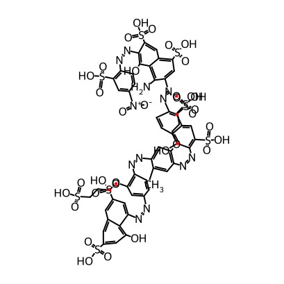 Cc1cc(/N=N\c2c(S(=O)(=O)O)cc3c(S(=O)(=O)O)c(N=Nc4cc(S(=O)(=O)O)c5cc(S(=O)(=O)O)c(/N=N\c6ccc([N+](=O)[O-])cc6S(=O)(=O)O)c(O)c5c4N)ccc3c2O)c(OCCCS(=O)(=O)O)cc1/N=N\c1ccc(/N=N\c2cc(S(=O)(=O)O)cc3cc(S(=O)(=O)O)cc(O)c23)cc1OCCCS(=O)(=O)O